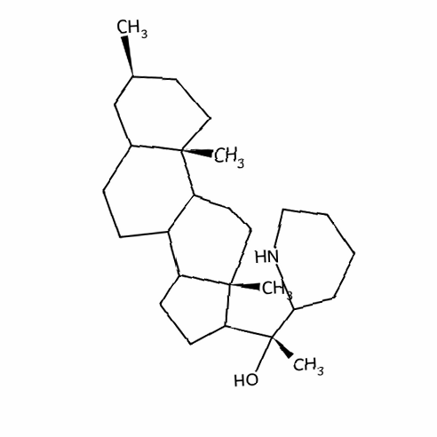 C[C@H]1CC[C@@]2(C)C(CCC3C2CC[C@@]2(C)C3CCC2[C@@](C)(O)C2CCCCN2)C1